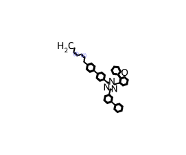 C=C/C=C\C=C/Cc1ccc(-c2ccc(-c3nc(-c4cccc(-c5ccccc5)c4)nc(-c4cccc5oc6ccccc6c45)n3)cc2)cc1